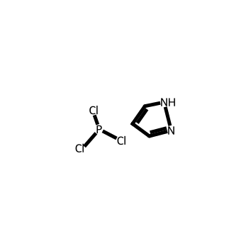 ClP(Cl)Cl.c1cn[nH]c1